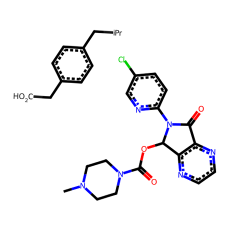 CC(C)Cc1ccc(CC(=O)O)cc1.CN1CCN(C(=O)OC2c3nccnc3C(=O)N2c2ccc(Cl)cn2)CC1